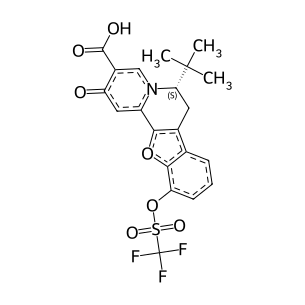 CC(C)(C)[C@@H]1Cc2c(oc3c(OS(=O)(=O)C(F)(F)F)cccc23)-c2cc(=O)c(C(=O)O)cn21